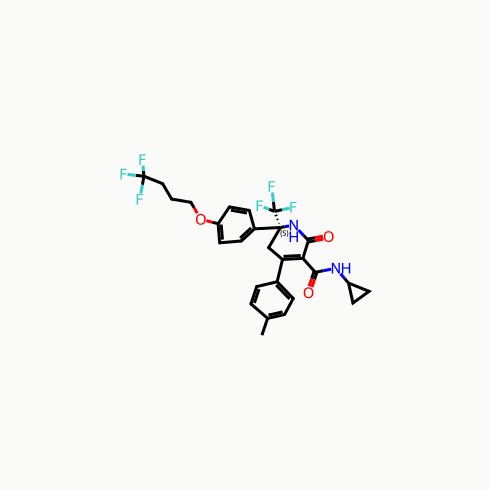 Cc1ccc(C2=C(C(=O)NC3CC3)C(=O)N[C@@](c3ccc(OCCCC(F)(F)F)cc3)(C(F)(F)F)C2)cc1